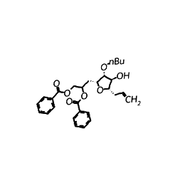 C=CC[C@@H]1O[C@H](CC(COC(=O)c2ccccc2)OC(=O)c2ccccc2)[C@H](OCCCC)[C@H]1O